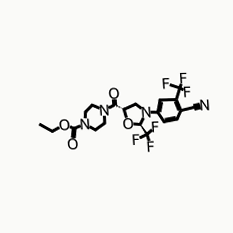 CCOC(=O)N1CCN(C(=O)[C@@H]2CN(c3ccc(C#N)c(C(F)(F)F)c3)[C@@H](C(F)(F)F)O2)CC1